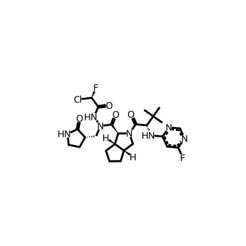 CC(C)(C)[C@H](Nc1cc(F)ncn1)C(=O)N1C[C@@H]2CCC[C@@H]2[C@H]1C(=O)N(C[C@@H]1CCNC1=O)NC(=O)[C@H](F)Cl